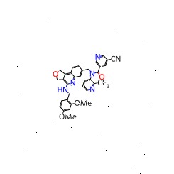 COc1ccc(CNc2nc3cc(CN(C(=O)c4cncc(C#N)c4)c4cccnc4C(F)(F)F)ccc3c3c2COC3)c(OC)c1